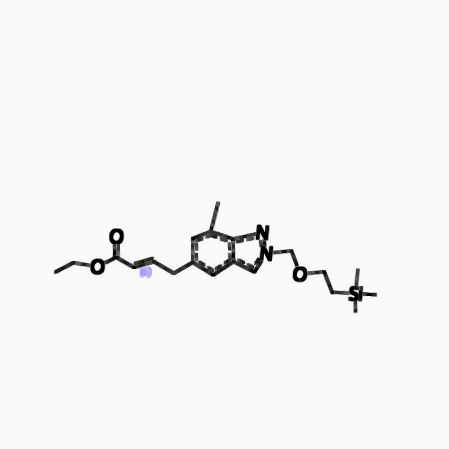 CCOC(=O)/C=C/Cc1cc(C)c2nn(COCC[Si](C)(C)C)cc2c1